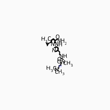 Cc1cc(C(N)=O)c(Nc2cncc(CCNC(=O)CN(C)C(=O)/C=C/CN(C)C)c2)nc1C1CC1